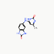 N#Cc1cc(Nc2ccc3[nH]c(=O)[nH]c3c2)[nH]c(=O)n1